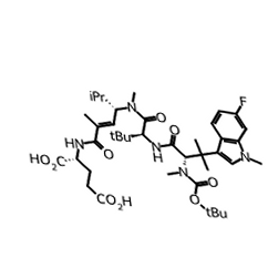 C/C(=C\[C@H](C(C)C)N(C)C(=O)[C@@H](NC(=O)[C@@H](N(C)C(=O)OC(C)(C)C)C(C)(C)c1cn(C)c2cc(F)ccc12)C(C)(C)C)C(=O)N[C@H](CCC(=O)O)C(=O)O